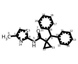 Cc1csc(NC(=O)C2(C(c3ccccc3)c3ccccc3)CC2)n1